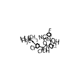 C[Si](C)(C)C#Cc1ccc(C2C(C(=O)Nc3ccc(Cl)c(C(O)Nc4ccc(F)cc4C#N)c3)C2(Cl)Cl)cc1Cl